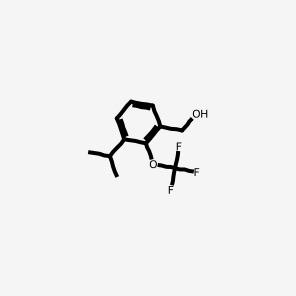 CC(C)c1cccc(CO)c1OC(F)(F)F